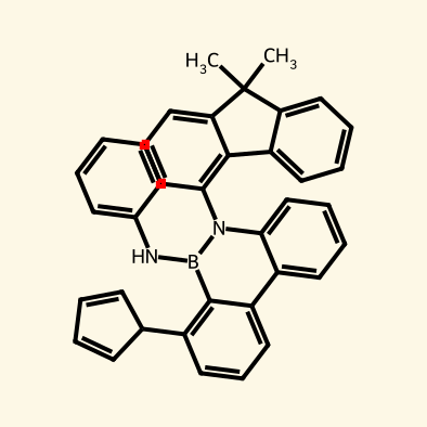 CC1(C)c2ccccc2-c2c(N3B(Nc4ccccc4)c4c(cccc4C4C=CC=C4)-c4ccccc43)cccc21